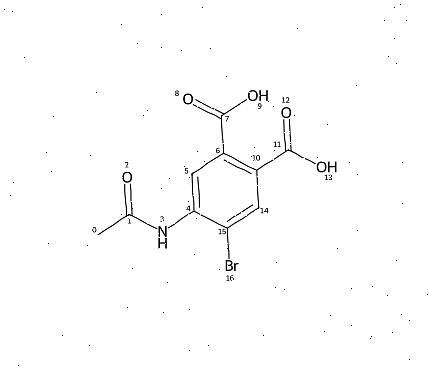 CC(=O)Nc1cc(C(=O)O)c(C(=O)O)cc1Br